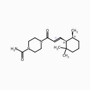 C[C@H]1CCCC(C)(C)[C@H]1/C=C/C(=O)N1CCN(C(N)=O)CC1